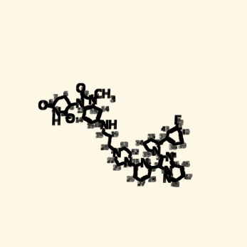 Cn1c(=O)n(C2CCC(=O)NC2=O)c2ccc(NCCCN3CCN(c4cccc(-c5c(N6CCCC6c6cccc(F)c6)nc6cccnn56)n4)CC3)cc21